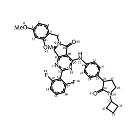 COc1ccc(CN2Cc3nc(-c4c(F)cccc4F)nc(Nc4ccc(C5CCN(C6CCC6)C5=O)cc4)c3C2=O)c(OC)c1